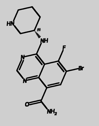 NC(=O)c1cc(Br)c(F)c2c(N[C@H]3CCCNC3)ncnc12